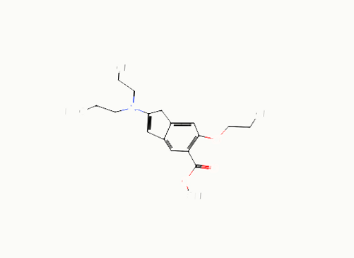 CCCOc1cc2c(cc1C(=O)OC)C=C(N(CCC)CCC)C2